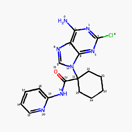 Nc1nc(Cl)nc2c1ncn2C1(C(=O)Nc2ccccn2)CCCCC1